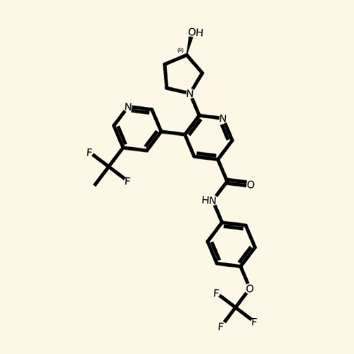 CC(F)(F)c1cncc(-c2cc(C(=O)Nc3ccc(OC(F)(F)F)cc3)cnc2N2CC[C@@H](O)C2)c1